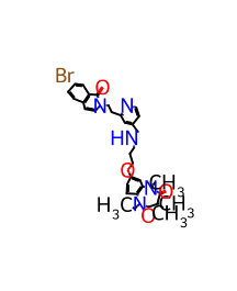 CCN1C(=O)C(C)(C)C(=O)N(C)c2cc(OCCCNCc3ccnc(CCn4ccc5ccc(Br)cc5c4=O)c3)ccc21